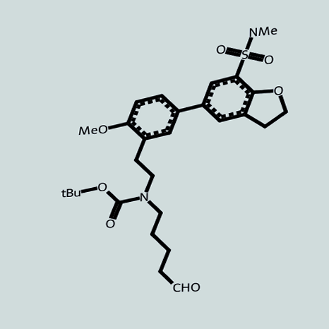 CNS(=O)(=O)c1cc(-c2ccc(OC)c(CCN(CCCCC=O)C(=O)OC(C)(C)C)c2)cc2c1OCC2